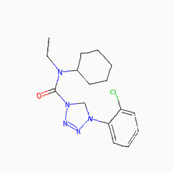 CCN(C(=O)N1CN(c2ccccc2Cl)N=N1)C1CCCCC1